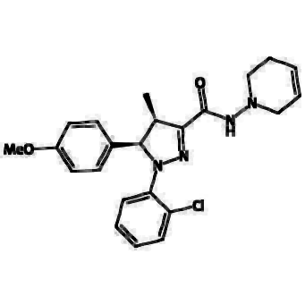 COc1ccc([C@H]2[C@@H](C)C(C(=O)NN3CC=CCC3)=NN2c2ccccc2Cl)cc1